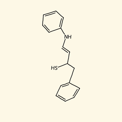 SC(/C=C/Nc1ccccc1)Cc1ccccc1